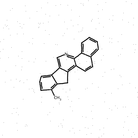 Cc1cccc2c1Cc1c-2cnc2c1ccc1ccccc12